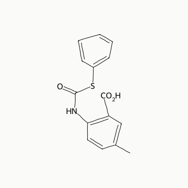 Cc1ccc(NC(=O)Sc2ccccc2)c(C(=O)O)c1